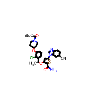 CC(C)COC(=O)N1CCC(Oc2cccc([C@@H](C)Oc3cc(-n4cnc5ccc(C#N)cc54)sc3C(N)=O)c2Cl)CC1